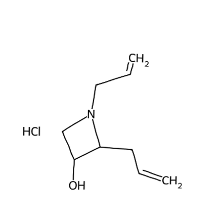 C=CCC1C(O)CN1CC=C.Cl